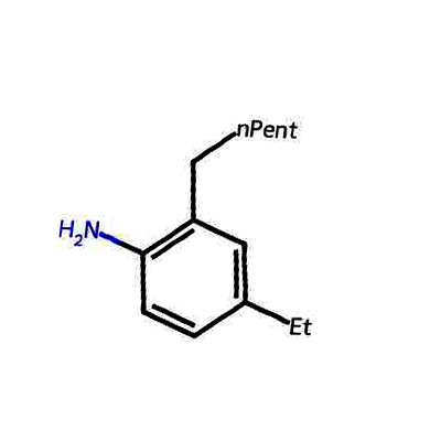 CCCCCCc1cc(CC)ccc1N